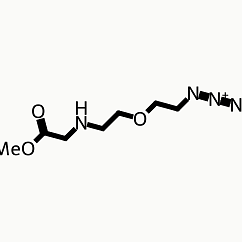 COC(=O)CNCCOCCN=[N+]=[N-]